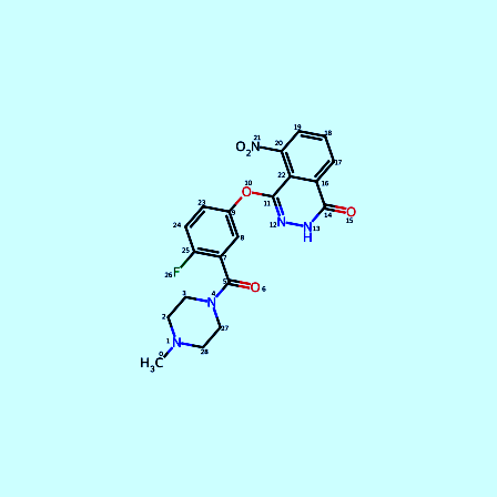 CN1CCN(C(=O)c2cc(Oc3n[nH]c(=O)c4cccc([N+](=O)[O-])c34)ccc2F)CC1